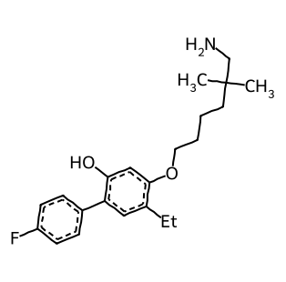 CCc1cc(-c2ccc(F)cc2)c(O)cc1OCCCCC(C)(C)CN